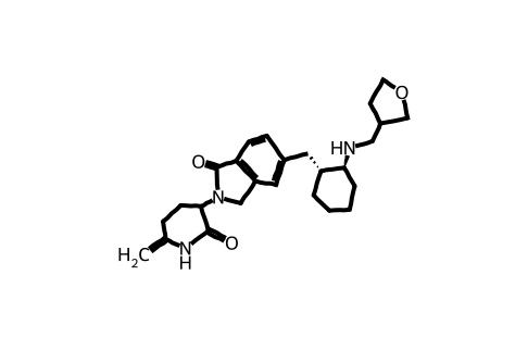 C=C1CCC(N2Cc3cc(C[C@H]4CCCC[C@@H]4NCC4CCOC4)ccc3C2=O)C(=O)N1